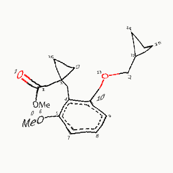 COC(=O)C1(c2c(OC)cccc2OCC2CC2)CC1